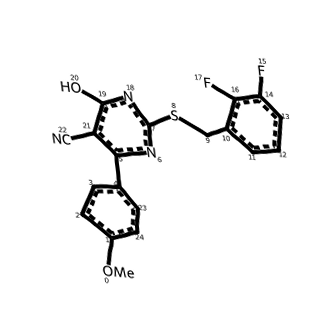 COc1ccc(-c2nc(SCc3cccc(F)c3F)nc(O)c2C#N)cc1